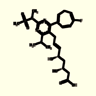 CC(C)c1nc(N(C)S(C)(=O)=O)nc(C2=CCC=C(F)C=C2)c1CC=C[C@@H](O)C[C@@H](O)CC(=O)O